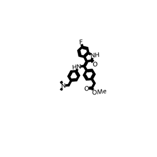 COC(=O)Cc1ccc(C(Nc2ccc(CN(C)C)cc2)=C2C(=O)Nc3cc(F)ccc32)cc1